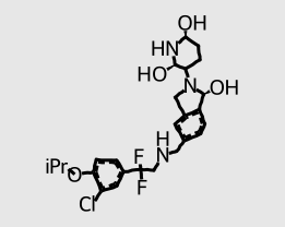 CC(C)Oc1ccc(C(F)(F)CNCc2ccc3c(c2)CN(C2CC[C@H](O)N[C@@H]2O)[C@H]3O)cc1Cl